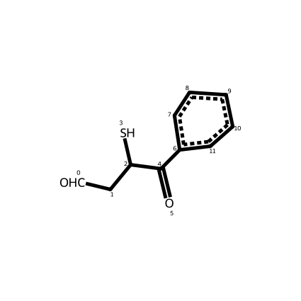 O=CCC(S)C(=O)c1ccccc1